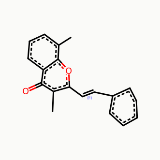 Cc1c(/C=C/c2ccccc2)oc2c(C)cccc2c1=O